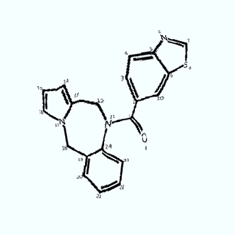 O=C(c1ccc2ncsc2c1)N1Cc2cccn2Cc2ccccc21